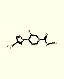 CC(C)(C)OC(=O)N1CC[C@@H](n2cc([N+](=O)[O-])cn2)[C@@H](F)C1